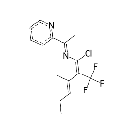 CC/C=C(C)/C(=C(Cl)\N=C(/C)c1ccccn1)C(F)(F)F